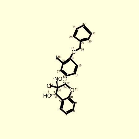 O=[N+]([O-])[C@]1(Cl)[C@@H](O)c2ccccc2O[C@H]1c1ccc(OCc2ccccc2)c(I)c1